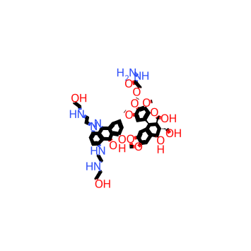 COc1cc([C@@H]2c3cc4c(cc3[C@H](O)[C@@H](CO)[C@@H]2C(=O)O)OCO4)cc(OC)c1OC.NNC(=O)C=O.O=C1c2c(O)cccc2-c2nn(CCNCCO)c3ccc(NCCNCCO)c1c23